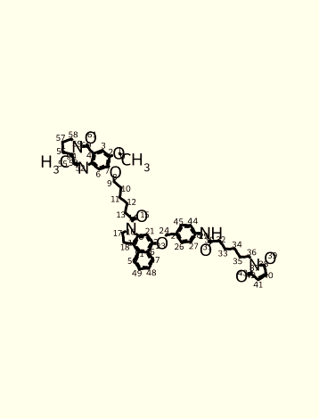 COc1cc2c(cc1OCCCCCC(=O)N1CCc3c1cc(OCc1ccc(NC(=O)CCCCCN4C(=O)C=CC4=O)cc1)c1ccccc31)N=C[C@]1(C)CCCN1C2=O